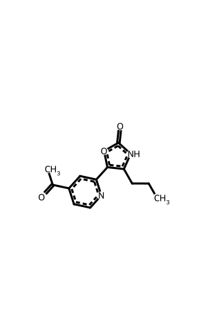 CCCc1[nH]c(=O)oc1-c1cc(C(C)=O)ccn1